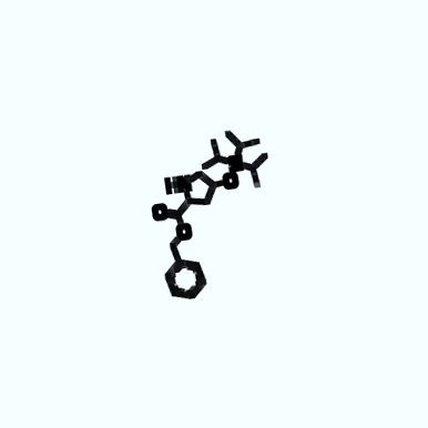 CC(C)[Si](OC1CNC(C(=O)OCc2ccccc2)C1)(C(C)C)C(C)C